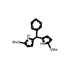 CSc1ccc(C(c2ccccc2)c2ccc(SC)[nH]2)[nH]1